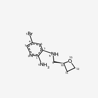 Nc1ncc(Br)cc1NC[C@@H]1CCO1